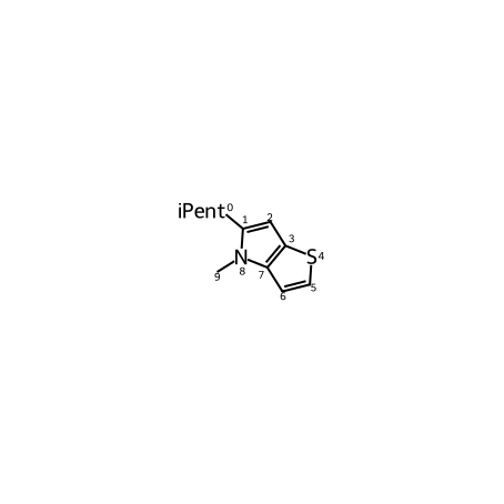 CCCC(C)c1cc2sccc2n1C